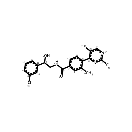 Cc1cc(C(=O)NCC(O)c2cccc(Cl)c2)ccc1-c1nc(Cl)ncc1F